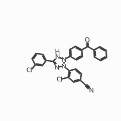 N#Cc1ccc(N2N=C(c3cccc(Cl)c3)NN2c2ccc(C(=O)c3ccccc3)cc2)c(Cl)c1